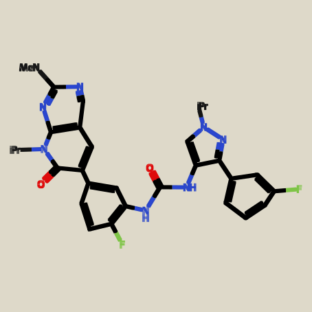 CNc1ncc2cc(-c3ccc(F)c(NC(=O)Nc4cn(C(C)C)nc4-c4cccc(F)c4)c3)c(=O)n(C(C)C)c2n1